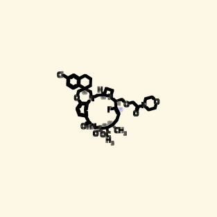 C[C@@H]1[C@@H](C)C/C=C(\F)[C@H](COCC(=O)N2CCOCC2)N2CC[C@H]2CN2C[C@@]3(CCCc4cc(Cl)ccc43)COc3ccc(cc32)C(=O)NS1(=O)=O